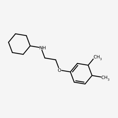 CC1C=CC(OCCNC2CCCCC2)=CC1C